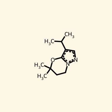 CC(C)c1cnn2c1OC(C)(C)CC2